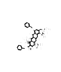 CN(C)c1c(CNC(C)(C)C)cc(OCc2ccccc2)c2c1C[C@H]1C[C@H]3[C@H](N(C)C)c4onc(OCc5ccccc5)c4C(=O)C3(O[Si](C)(C)C(C)(C)C)C(O)=C1C2=O